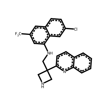 FC(F)(F)c1cc(NCC2(c3ccc4ccccc4n3)CNC2)c2cc(Cl)ccc2c1